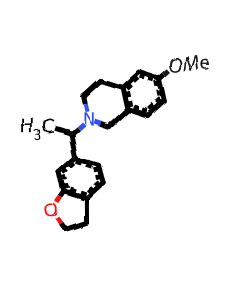 COc1ccc2c(c1)CCN(C(C)c1ccc3c(c1)OCC3)C2